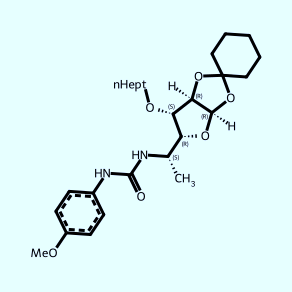 CCCCCCCO[C@@H]1[C@H]2OC3(CCCCC3)O[C@H]2O[C@@H]1[C@H](C)NC(=O)Nc1ccc(OC)cc1